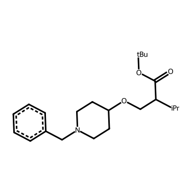 CC(C)C(COC1CCN(Cc2ccccc2)CC1)C(=O)OC(C)(C)C